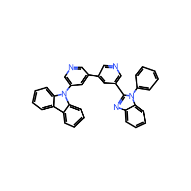 c1ccc(-n2c(-c3cncc(-c4cncc(-n5c6ccccc6c6ccccc65)c4)c3)nc3ccccc32)cc1